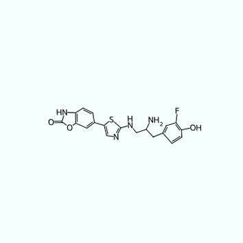 NC(CNc1ncc(-c2ccc3[nH]c(=O)oc3c2)s1)Cc1ccc(O)c(F)c1